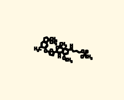 COc1cc(NCCCOS(C)(=O)=O)cc(OC)c1NC(=O)c1ccc(Oc2cc3c(cc2C)CCC3(C)C)o1